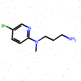 CN(CCCN)c1ccc(Br)cn1